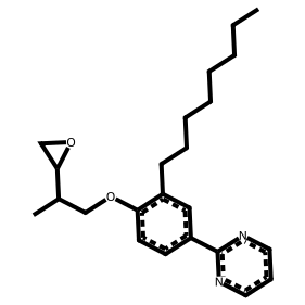 CCCCCCCCc1cc(-c2ncccn2)ccc1OCC(C)C1CO1